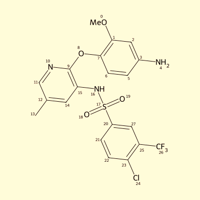 COc1cc(N)ccc1Oc1ncc(C)cc1NS(=O)(=O)c1ccc(Cl)c(C(F)(F)F)c1